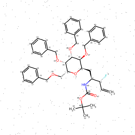 C=C[C@@H](F)[C@H](C[C@H]1O[C@H](COCc2ccccc2)[C@H](OCc2ccccc2)[C@H](OCc2ccccc2)[C@H]1OCc1ccccc1)NC(=O)OC(C)(C)C